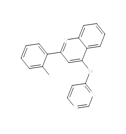 Fc1ccccc1-c1cc(Nc2ccncn2)c2ccccc2n1